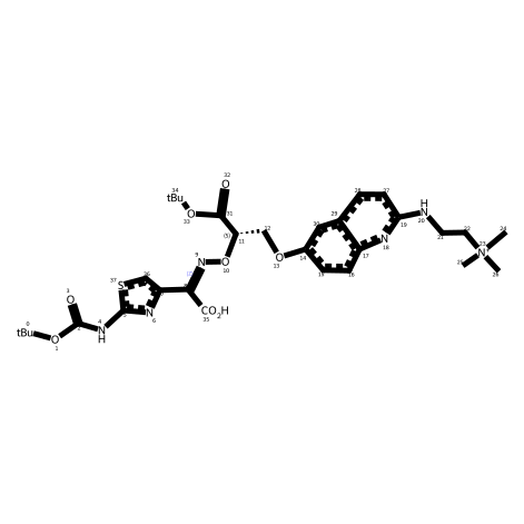 CC(C)(C)OC(=O)Nc1nc(/C(=N/O[C@@H](COc2ccc3nc(NCC[N+](C)(C)C)ccc3c2)C(=O)OC(C)(C)C)C(=O)O)cs1